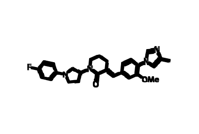 COc1cc(/C=C2\CCCN(C3CCN(c4ccc(F)cc4)C3)C2=O)ccc1-n1cnc(C)c1